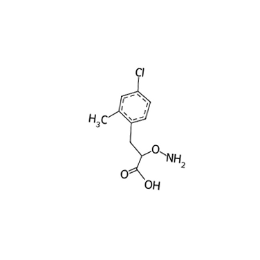 Cc1cc(Cl)ccc1CC(ON)C(=O)O